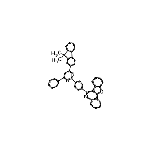 CC1(C)c2ccccc2-c2ccc(-c3cc(-c4ccccc4)nc(-c4ccc(-c5nc6ccccc6c6oc7ccccc7c56)cc4)n3)cc21